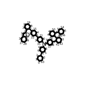 c1ccc(-c2ccc(N(c3ccc(-c4ccc(-c5ccccc5-c5cc6ccccc6o5)cc4)cc3)c3ccc(-c4ccccc4-c4ccccc4-c4ccccc4)cc3)cc2)cc1